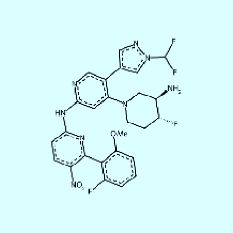 COc1cccc(F)c1-c1nc(Nc2cc(N3CC[C@@H](F)[C@H](N)C3)c(-c3cnn(C(F)F)c3)cn2)ccc1[N+](=O)[O-]